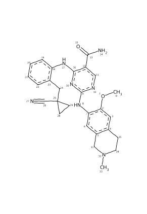 COc1cc2c(cc1Nc1ncc(C(N)=O)c(Nc3ccccc3CC3(C#N)CC3)n1)CN(C)CC2